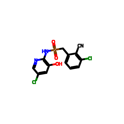 N#Cc1c(Cl)cccc1CS(=O)(=O)Nc1ncc(Cl)cc1O